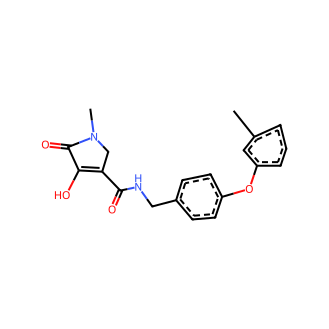 Cc1cccc(Oc2ccc(CNC(=O)C3=C(O)C(=O)N(C)C3)cc2)c1